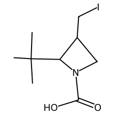 CC(C)(C)C1C(CI)CN1C(=O)O